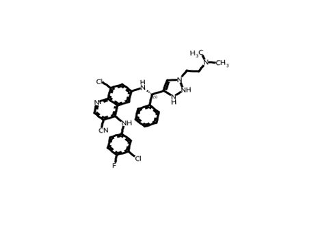 CN(C)CCN1C=C([C@@H](Nc2cc(Cl)c3ncc(C#N)c(Nc4ccc(F)c(Cl)c4)c3c2)c2ccccc2)NN1